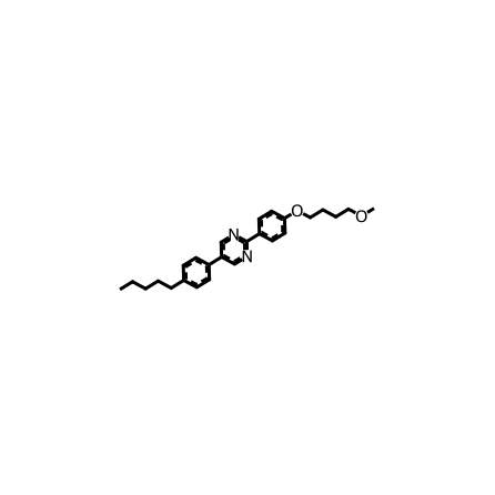 CCCCCc1ccc(-c2cnc(-c3ccc(OCCCCOC)cc3)nc2)cc1